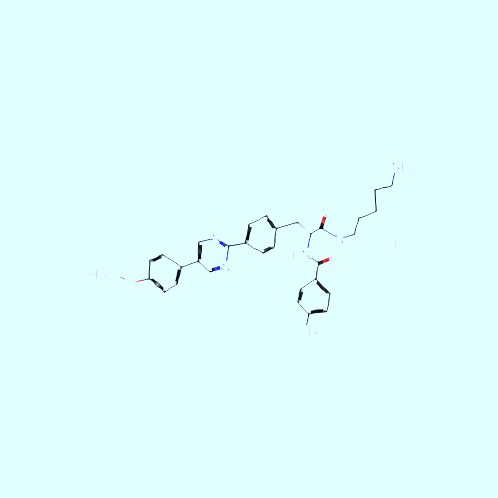 CCCCCCCOc1ccc(-c2cnc(-c3ccc(C[C@H](NC(=O)c4ccc(C(C)(C)C)cc4)C(=O)N[C@H](CCCCN)C(=O)O)cc3)nc2)cc1